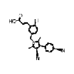 Cc1c(C#N)c(-c2ccc(C#N)cc2)c(C)n1Cc1ccc(Cl)c(/C=C/C(=O)O)c1